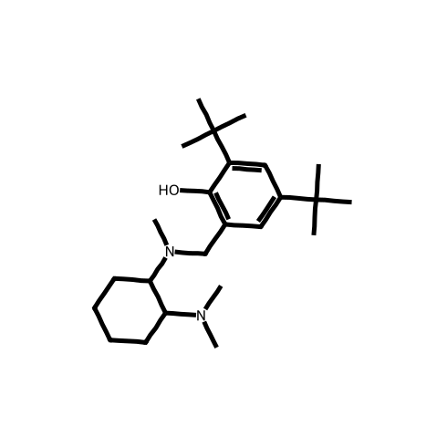 CN(C)C1CCCCC1N(C)Cc1cc(C(C)(C)C)cc(C(C)(C)C)c1O